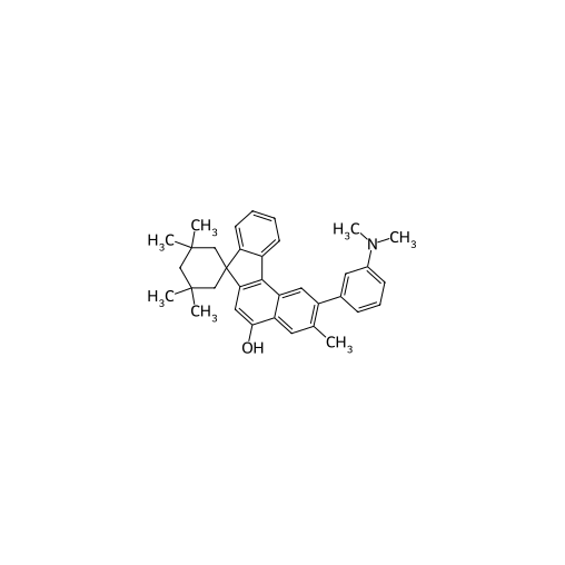 Cc1cc2c(O)cc3c(c2cc1-c1cccc(N(C)C)c1)-c1ccccc1C31CC(C)(C)CC(C)(C)C1